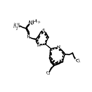 NC(N)=Nc1nc(-c2cc(Cl)cc(CCl)n2)cs1